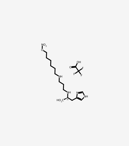 O=C(O)C(F)(F)F.O=C(O)[C@H](Cc1c[nH]cn1)NCCCNCCCCCCO[N+](=O)[O-]